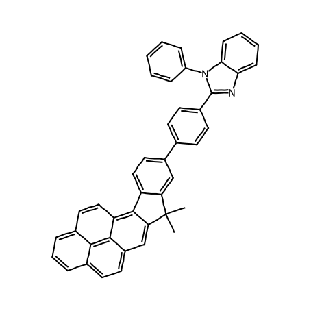 CC1(C)c2cc(-c3ccc(-c4nc5ccccc5n4-c4ccccc4)cc3)ccc2-c2c1cc1ccc3cccc4ccc2c1c34